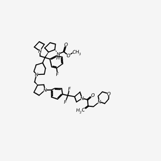 C=C(CN1CCOCC1)C(=O)N1CC(C(F)(F)c2ccc(N3CC[C@@H](CN4CCC(C(CN5CCC5)(c5cccc(F)c5)[C@H]5CCC[C@@H]5NC(=O)OC)CC4)C3)cc2)C1